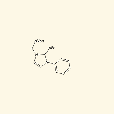 CCCCCCCCCCN1C=CN(c2ccccc2)C1CCC